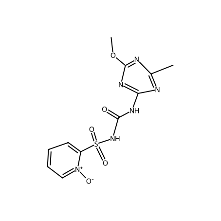 COc1nc(C)nc(NC(=O)NS(=O)(=O)c2cccc[n+]2[O-])n1